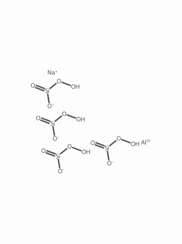 O=[Si]([O-])OO.O=[Si]([O-])OO.O=[Si]([O-])OO.O=[Si]([O-])OO.[Al+3].[Na+]